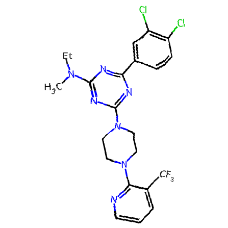 CCN(C)c1nc(-c2ccc(Cl)c(Cl)c2)nc(N2CCN(c3ncccc3C(F)(F)F)CC2)n1